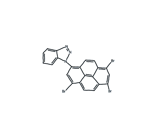 Brc1cc(Br)c2ccc3c(-n4nnc5ccccc54)cc(Br)c4ccc1c2c43